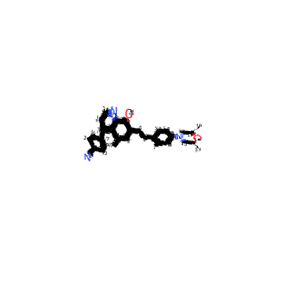 CC1=CC(CCc2ccc(N3C[C@@H](C)O[C@@H](C)C3)cc2)C(=O)c2nccc(-c3ccc(C#N)cc3)c21